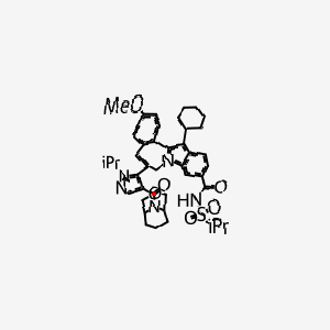 COc1ccc2c(c1)C=C(c1c(C(=O)N3C4CCCC3COC4)cnn1C(C)C)Cn1c-2c(C2CCCCC2)c2ccc(C(=O)NS(=O)(=O)C(C)C)cc21